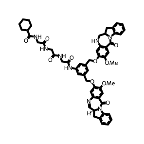 COc1cc2c(cc1OCc1cc(COc3cc4c(cc3OC)C(=O)N3c5ccccc5CC3CN4)cc(NC(=O)CNC(=O)CNC(=O)CNC(=O)C3CCCCC3)c1)N=C[C@@H]1Cc3ccccc3N1C2=O